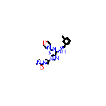 Cc1cccc(/C=N/Nc2nc(N3CCOCC3)nc3c2ncn3C2CN(C(=O)N(C)C)C2)c1